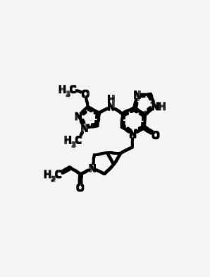 C=CC(=O)N1CC2C(C1)C2Cn1cc(Nc2cn(C)nc2OC)c2nc[nH]c2c1=O